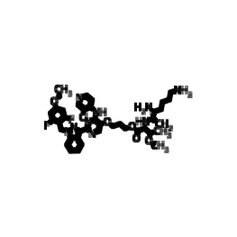 C=C(N[C@H](C(=O)OCCCOc1cnc(-c2nn(Cc3c(F)cc(OCC)cc3F)c3ccccc23)nc1Nc1ccncc1Cl)C(C)OC)[C@@H](N)CCCCN